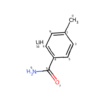 Cc1ccc(C(N)=O)cc1.[LiH]